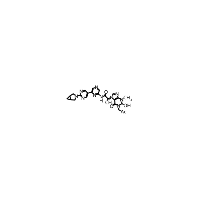 CC(=O)CN1C(=O)c2c(ncn2[C@@H](C)C(=O)Nc2cncc(-c3cnc(N4CC5CC5C4)nc3)n2)N(C)C1O